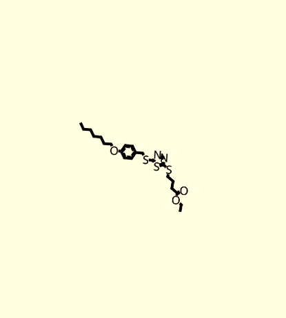 CCCCCCCOc1ccc(CSc2nnc(SCCCC(=O)OCC)s2)cc1